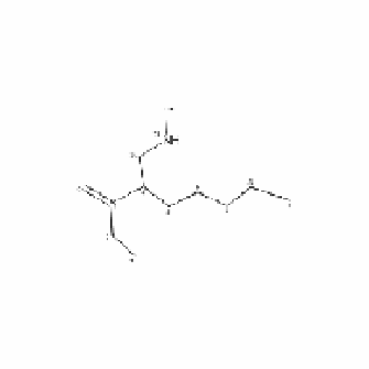 C=C(CC)C(CCCCC)CNC